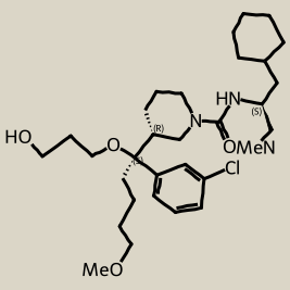 CNC[C@H](CC1CCCCC1)NC(=O)N1CCC[C@@H]([C@](CCCCOC)(OCCCO)c2cccc(Cl)c2)C1